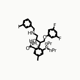 CCCN(CCC)c1cc(C)cc(C(N)=O)c1C(COc1cc(F)cc(F)c1)C(O)CNCc1cccc(I)c1